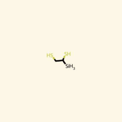 [SiH3]C(S)CS